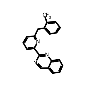 FC(F)(F)c1ccccc1Cc1cccc(-c2ncc3ccccc3n2)n1